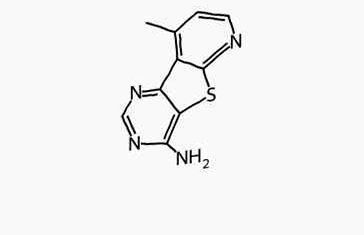 Cc1ccnc2sc3c(N)ncnc3c12